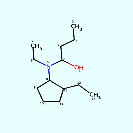 CCCC(O)N(CC)C1CCCC1CC